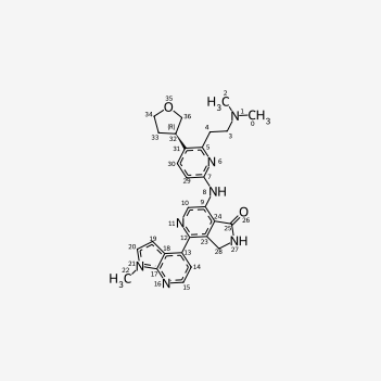 CN(C)CCc1nc(Nc2cnc(-c3ccnc4c3ccn4C)c3c2C(=O)NC3)ccc1[C@H]1CCOC1